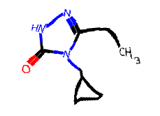 CCc1n[nH]c(=O)n1C1CC1